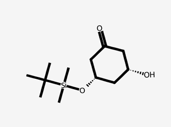 CC(C)(C)[Si](C)(C)O[C@@H]1CC(=O)C[C@H](O)C1